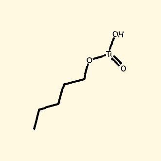 CCCCC[O][Ti](=[O])[OH]